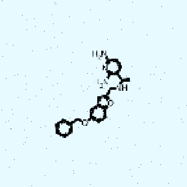 C=C(NCc1cc2cc(OCc3ccccc3)ccc2o1)c1ccc(N)nc1N